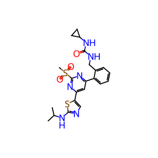 CC(C)Nc1ncc(-c2cc(-c3ccccc3CNC(=O)NC3CC3)nc(S(C)(=O)=O)n2)s1